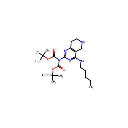 CCCCCNc1nc(N(C(=O)OC(C)(C)C)C(=O)OC(C)(C)C)nc2c1CNCC2